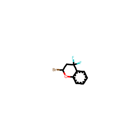 FC1(F)CC(Br)Oc2ccccc21